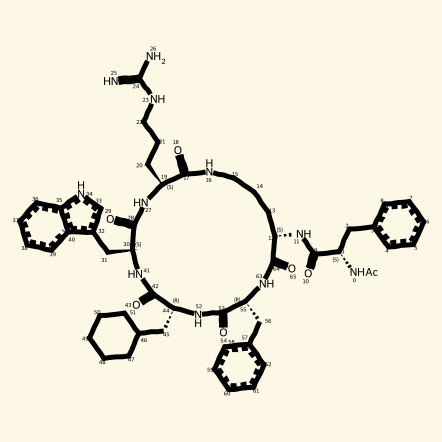 CC(=O)N[C@@H](Cc1ccccc1)C(=O)N[C@H]1CCCNC(=O)[C@H](CCCNC(=N)N)NC(=O)[C@H](Cc2c[nH]c3ccccc23)NC(=O)[C@@H](CC2CCCCC2)NC(=O)[C@@H](Cc2ccccc2)NC1=O